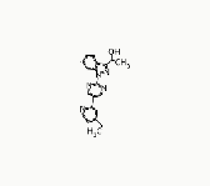 CCc1ccnc(-c2cnc(-n3nc(C(C)O)c4cc[c]cc43)nc2)c1